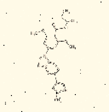 CCC(C)NC(=O)c1c(OC)cc(-n2cnc3cc(-c4cnn(C)c4)ccc32)cc1OC